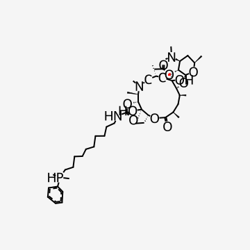 CC[C@H]1OC(=O)[C@H](C)C[C@H](C)[C@@H](O[C@@H]2O[C@H](C)C[C@H](N(C)C)[C@H]2OC(C)=O)[C@](C)(O)C[C@@H](C)CN(C)[C@H](C)[C@@H](OC(=O)NCCCCCCCCCC[PH](C)(C)c2ccccc2)[C@]1(C)O